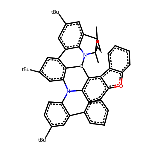 CC(C)(C)c1ccc(N2c3cc(C(C)(C)C)cc4c3B(c3c2ccc2oc5ccccc5c32)N2c3c-4cc(C(C)(C)C)cc3C3(C)CCCCC23C)c(-c2ccccc2)c1